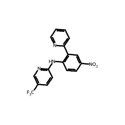 O=[N+]([O-])c1ccc(Nc2ccc(C(F)(F)F)cn2)c(-c2ccccn2)c1